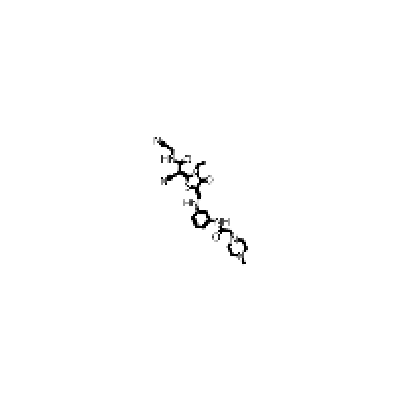 CCn1c(=C(C#N)C(=O)NCC#N)sc(=CNc2cccc(NC(=O)CN3CCN(C)CC3)c2)c1=O